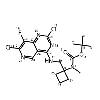 CN(C(=O)OC(C)(C)C)C1(CNc2nc(Cl)nc3c(F)c(Cl)ncc23)CCC1